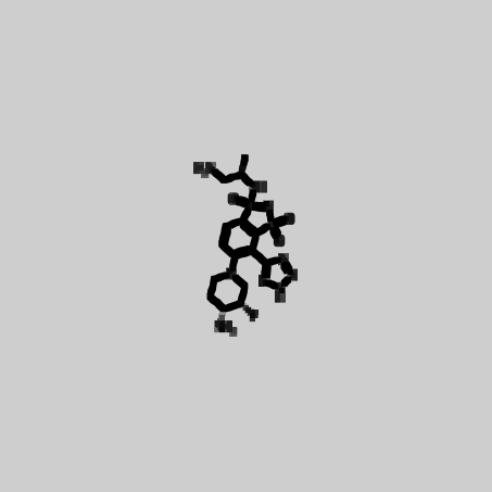 C[C@H](CN)NS1(=O)=NS(=O)(=O)c2c1ccc(N1CC[C@@H](N)[C@@H](F)C1)c2-c1nn[nH]n1